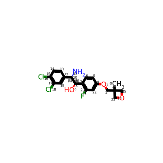 CC1(COc2ccc([C@@H](O)[C@@H](N)c3ccc(Cl)c(Cl)c3)c(F)c2)COC1